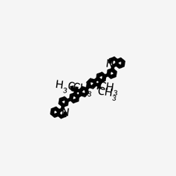 CCC1(C)c2cc(-c3cccc(-c4nccc5ccccc45)c3)ccc2-c2ccc(-c3ccc4c(c3)C(C)(CC)c3cc(-c5cccc(-c6nccc7ccccc67)c5)ccc3-4)cc21